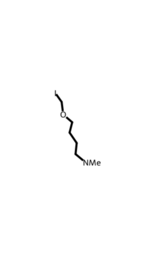 CNCCCCOCI